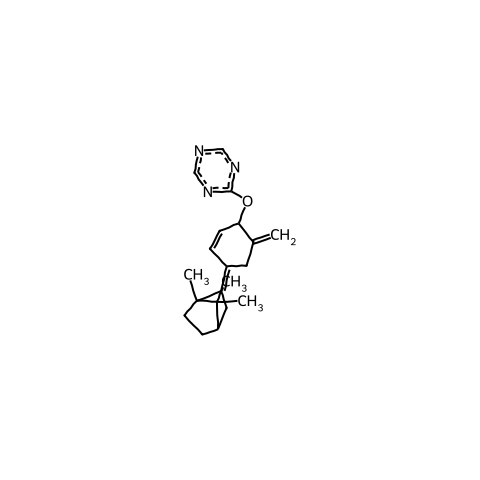 C=C1CC(=C2CC3CCC2(C)C3(C)C)C=CC1Oc1ncncn1